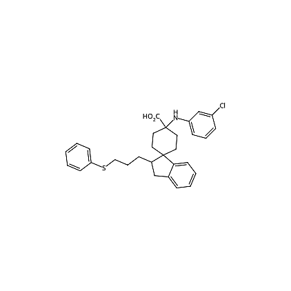 O=C(O)C1(Nc2cccc(Cl)c2)CCC2(CC1)c1ccccc1CC2CCCSc1ccccc1